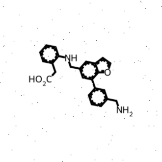 NCc1cccc(-c2cc(CNc3ccccc3CC(=O)O)cc3ccoc23)c1